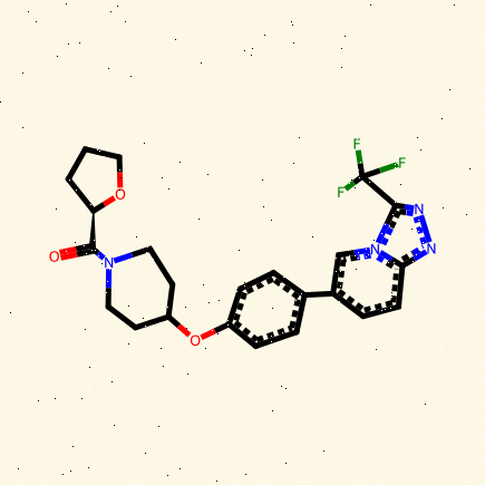 O=C([C@H]1CCCO1)N1CCC(Oc2ccc(-c3ccc4nnc(C(F)(F)F)n4c3)cc2)CC1